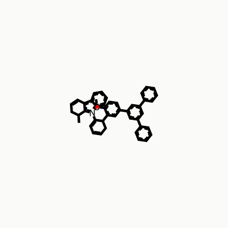 CSc1ccc(-c2cc(-c3ccccc3)cc(-c3ccccc3)c2)cc1C1CC=CC=C1n1c2c(c3ccccc31)C=CCC2C